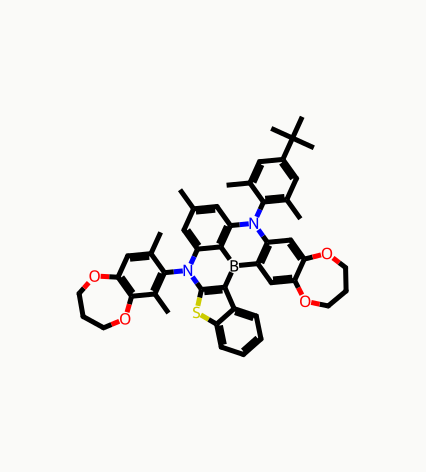 Cc1cc2c3c(c1)N(c1c(C)cc4c(c1C)OCCCO4)c1sc4ccccc4c1B3c1cc3c(cc1N2c1c(C)cc(C(C)(C)C)cc1C)OCCCO3